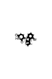 O=C1CCC(n2c3cccc(Br)c3c3ccsc32)C(=O)N1